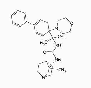 CC1(NC(=O)NC(C)(C)C2(N3CCOCC3)C=CC(c3ccccc3)=CC2)CN2CCC1CC2